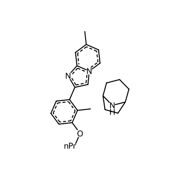 C1CC2CCC(C1)N2.CCCOc1cccc(-c2cn3ccc(C)cc3n2)c1C